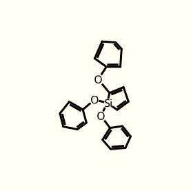 C1=C[Si](Oc2ccccc2)(Oc2ccccc2)C(Oc2ccccc2)=C1